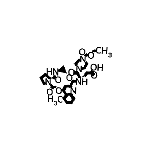 CCOC(=O)N1CCN(C(=O)[C@H](CCC(=O)O)NC(=O)c2cc(OCC(=O)N3CCC[C@H]3C(=O)NC3CC3)c3c(C)cccc3n2)CC1